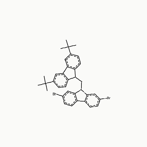 CC(C)(C)c1ccc2c(c1)-c1cc(C(C)(C)C)ccc1C2CC1c2cc(Br)ccc2-c2ccc(Br)cc21